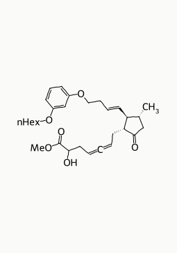 CCCCCCOc1cccc(OCC/C=C/[C@H]2[C@H](C)CC(=O)[C@@H]2CC=C=CCC(O)C(=O)OC)c1